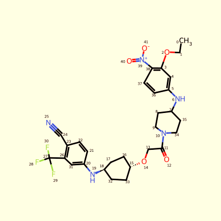 CCOc1cc(NC2CCN(C(=O)CO[C@H]3CC[C@H](Nc4ccc(C#N)c(C(F)(F)F)c4)CC3)CC2)ccc1[N+](=O)[O-]